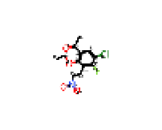 CCOc1c(C(C)=O)cc(Cl)c(F)c1CC[N+](=O)[O-]